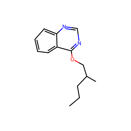 CCCC(C)COc1ncnc2ccccc12